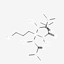 CCCCN(C(=O)N(C)C)[Si](CCCN)(N(CCCC)C(=O)N(C)C)N(CCCC)C(=O)N(C)C